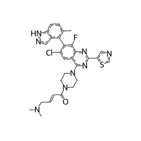 Cc1ccc2[nH]ncc2c1-c1c(Cl)cc2c(N3CCN(C(=O)C=CCN(C)C)CC3)nc(-c3cncs3)nc2c1F